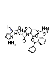 Nc1nc(/C(=C\I)C(=O)NC2C(=O)N3C(C(=O)OC(c4ccccc4)c4ccccc4)=C(CSc4nncs4)CS[C@H]23)cs1